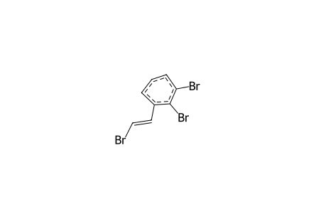 BrC=Cc1cccc(Br)c1Br